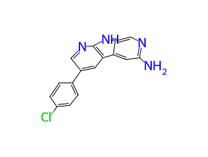 Nc1cc2c(cn1)[nH]c1ncc(-c3ccc(Cl)cc3)cc12